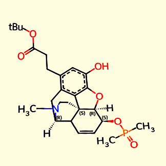 CN1CC[C@]23c4c5c(CCC(=O)OC(C)(C)C)cc(O)c4O[C@H]2[C@@H](OP(C)(C)=O)C=CC3[C@H]1C5